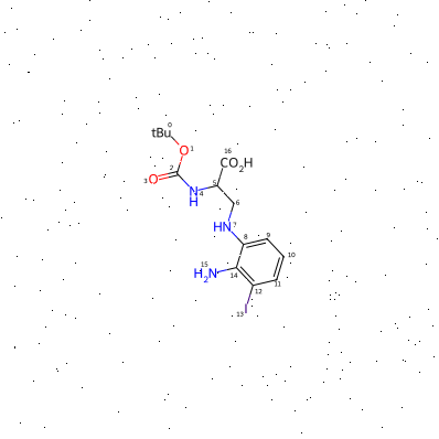 CC(C)(C)OC(=O)NC(CNc1cccc(I)c1N)C(=O)O